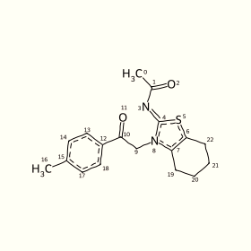 CC(=O)N=c1sc2c(n1CC(=O)c1ccc(C)cc1)CCCC2